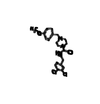 COc1ccc(CN2CCN(C(=O)NCc3ccc(Cl)c(Cl)c3)CC2)cc1